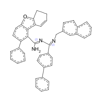 N/C(=N\C(=N/Cc1ccc2ccccc2c1)c1ccc(-c2ccccc2)cc1)c1c(-c2ccccc2)ccc2oc3c(c12)C=CCC3